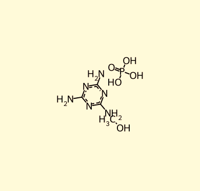 CO.Nc1nc(N)nc(N)n1.O=P(O)(O)O